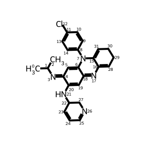 CC(C)/N=c1\cc2n(-c3ccc(Cl)cc3)c3c(nc-2cc1NC1C=CC=NC1)=CCCC=3